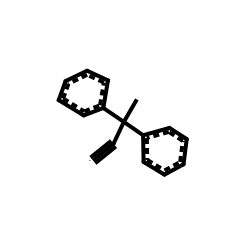 [C]#CC(C)(c1ccccc1)c1ccccc1